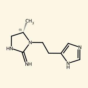 C[C@H]1CNC(=N)N1CCc1cnc[nH]1